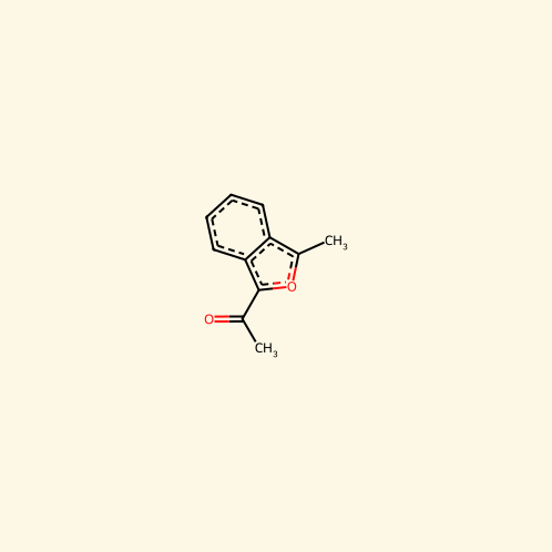 CC(=O)c1oc(C)c2ccccc12